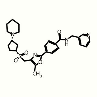 Cc1oc(-c2ccc(C(=O)NCc3cccnc3)cc2)nc1CS(=O)(=O)[C@H]1CC[C@H](N2CCCCC2)C1